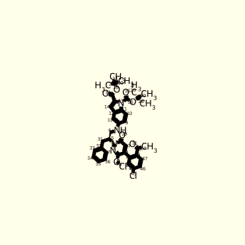 COc1nn([C@H](CNc2ccc3c(c2)cc(C(=O)OC(C)(C)C)n3C(=O)OC(C)(C)C)Cc2ccccc2)c(=O)cc1-c1cc(Cl)ccc1C(C)=O